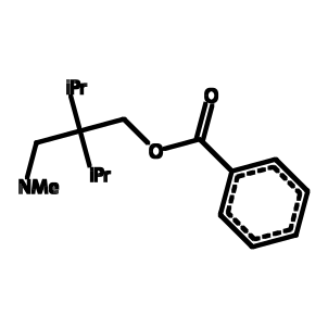 CNCC(COC(=O)c1ccccc1)(C(C)C)C(C)C